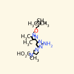 Cc1c(-c2cc(N3CCC(N(C)C(=O)O)C3)nc(N)n2)nn(COCC[Si](C)(C)C)c1C